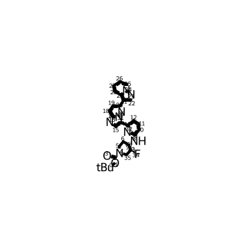 CC(C)(C)OC(=O)N1CC[C@H](Nc2cccc(-c3cnc4ccc(-c5cnn6ccccc56)nn34)n2)[C@@H](F)C1